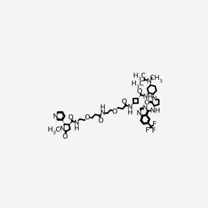 CC(C)N(C)[C@@H]1CC[C@H](N2CC[C@H](Nc3ncnc4ccc(C(F)(F)F)cc34)C2=O)[C@H](NC(=O)[C@H]2C[C@@H](NC(=O)CCOCCNC(=O)CCOCCNC(=O)[C@H]3CC(=O)N(C)[C@@H]3c3cccnc3)C2)C1